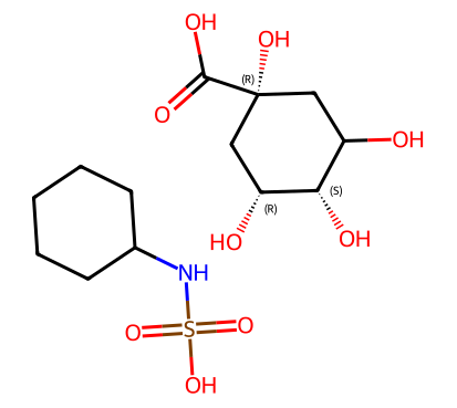 O=C(O)[C@@]1(O)CC(O)[C@H](O)[C@H](O)C1.O=S(=O)(O)NC1CCCCC1